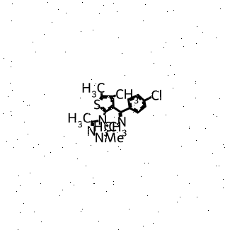 C/N=C(/c1ccc(Cl)cc1)c1c(N(C)/C(C)=N\NC)sc(C)c1C